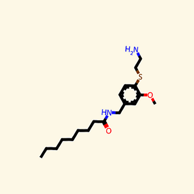 CCCCCCCCC(=O)NCc1ccc(SCCN)c(OC)c1